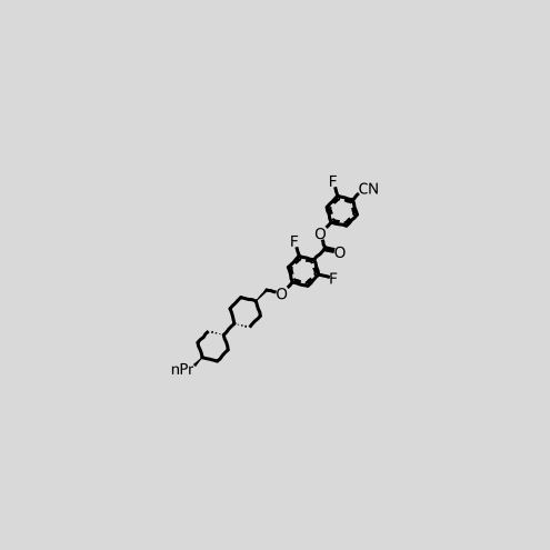 CCC[C@H]1CC[C@H]([C@H]2CC[C@H](COc3cc(F)c(C(=O)Oc4ccc(C#N)c(F)c4)c(F)c3)CC2)CC1